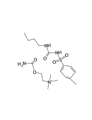 CCCCNC(=O)NS(=O)(=O)c1ccc(C)cc1.C[N+](C)(C)CCOC(N)=O